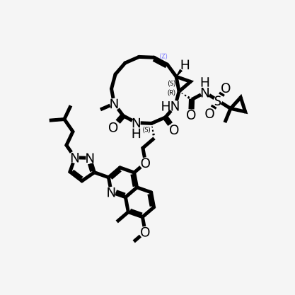 COc1ccc2c(OCC[C@@H]3NC(=O)N(C)CCCC/C=C\[C@@H]4C[C@@]4(C(=O)NS(=O)(=O)C4(C)CC4)NC3=O)cc(-c3ccn(CCC(C)C)n3)nc2c1C